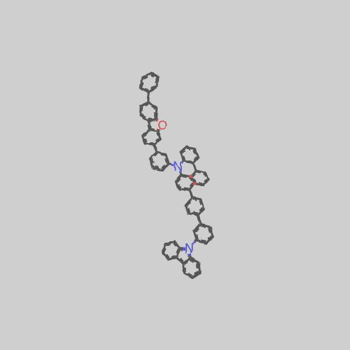 c1ccc(-c2ccc3c(c2)oc2cc(-c4cccc(N(c5ccc(-c6ccc(-c7cccc(-n8c9ccccc9c9ccccc98)c7)cc6)cc5)c5ccccc5-c5ccccc5)c4)ccc23)cc1